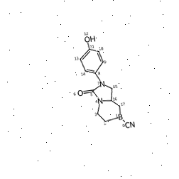 N#CB1CCN2C(=O)N(c3ccc(O)cc3)CC2C1